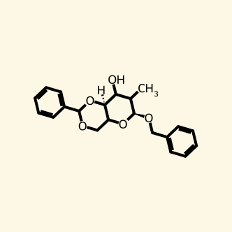 CC1C(O)[C@@H]2OC(c3ccccc3)OCC2O[C@@H]1OCc1ccccc1